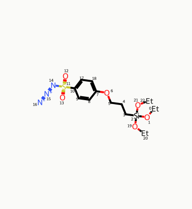 CCO[Si](CCCOc1ccc(S(=O)(=O)N=[N+]=[N-])cc1)(OCC)OCC